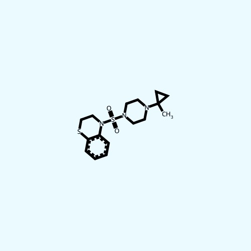 CC1(N2CCN(S(=O)(=O)N3CCSc4ccccc43)CC2)CC1